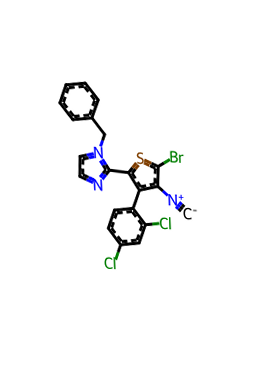 [C-]#[N+]c1c(Br)sc(-c2nccn2Cc2ccccc2)c1-c1ccc(Cl)cc1Cl